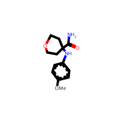 COc1ccc(NC2(C(N)=O)CCOCC2)cc1